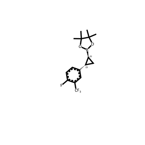 CC1(C)OB([C@H]2C[C@@H]2c2ccc(F)c(C(F)(F)F)c2)OC1(C)C